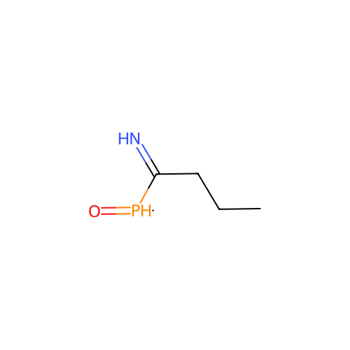 CCCC(=N)[PH]=O